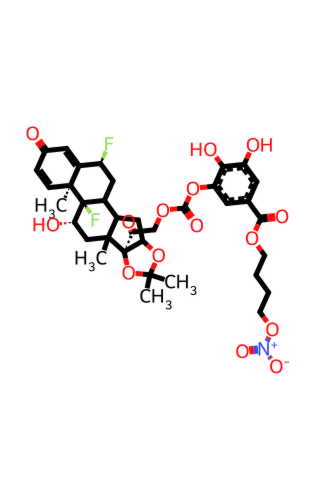 CC1(C)OC2CC3C4C[C@H](F)C5=CC(=O)C=C[C@]5(C)[C@@]4(F)[C@@H](O)CC3(C)[C@]2(C(=O)COC(=O)Oc2cc(C(=O)OCCCCO[N+](=O)[O-])cc(O)c2O)O1